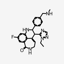 CCn1ncnc1C1C2=CCNC(=O)c3cc(F)cc(c32)NC1c1ccc(CNC)cc1